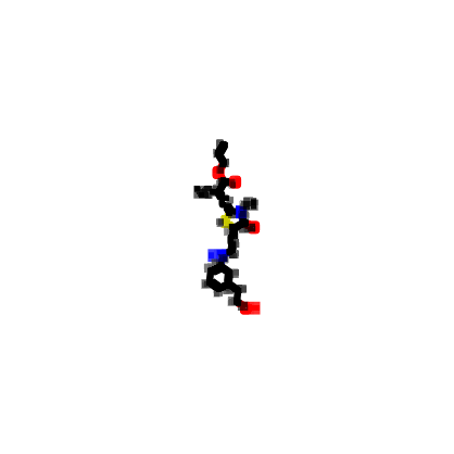 C=CCOC(=O)C(=C=c1sc(=C=CNc2cccc(CCO)c2)c(=O)n1CC)C#N